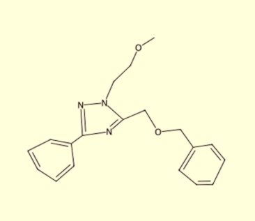 COCCn1nc(-c2ccccc2)nc1COCc1ccccc1